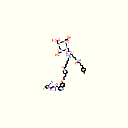 Cc1ccc(CCCC(=O)NCCCCC(N/N=C/CCCCCC(=O)N2CCC(CCCOc3ccc4nccc(C(=O)NCC(=O)N5CC(F)(F)C[C@@H]5C#N)c4c3)CC2)NC(=O)CN2CCN(CC(=O)O)CCN(CC(=O)O)CCN(CC(=O)O)CC2)cc1